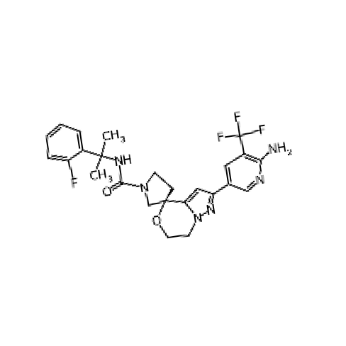 CC(C)(NC(=O)N1CC[C@]2(C1)OCCn1nc(-c3cnc(N)c(C(F)(F)F)c3)cc12)c1ccccc1F